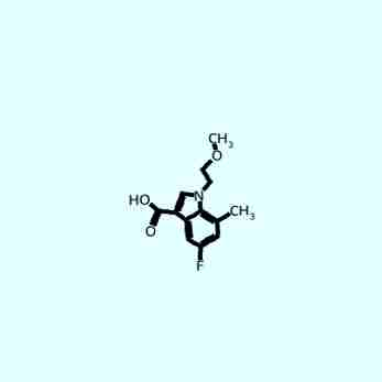 COCCn1cc(C(=O)O)c2cc(F)cc(C)c21